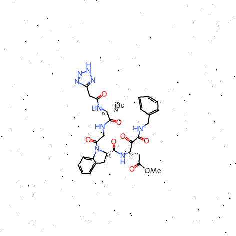 CC[C@H](C)[C@H](NC(=O)Cc1nn[nH]n1)C(=O)NCC(=O)N1c2ccccc2C[C@H]1C(=O)N[C@@H](CC(=O)OC)C(=O)C(=O)NCc1ccccc1